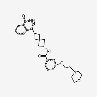 O=C(N[C@H]1CC2(C1)C[C@H](c1n[nH]c(=O)c3ccccc31)C2)c1cccc(OCCN2CCOCC2)c1